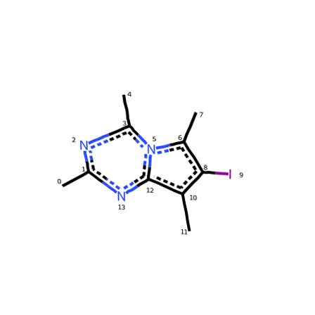 Cc1nc(C)n2c(C)c(I)c(C)c2n1